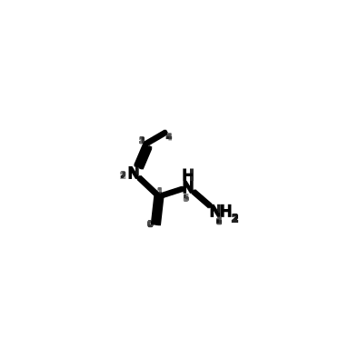 C=C(/N=C\C)NN